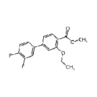 CCOc1cc(-c2ccc(F)c(F)c2)ccc1C(=O)OC